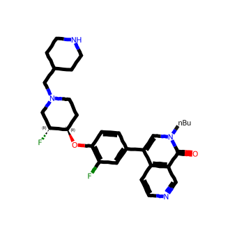 CCCCn1cc(-c2ccc(O[C@@H]3CCN(CC4CCNCC4)C[C@H]3F)c(F)c2)c2ccncc2c1=O